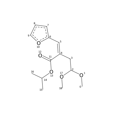 COC(CC(=Cc1ccco1)C(=O)OC(C)C)OC